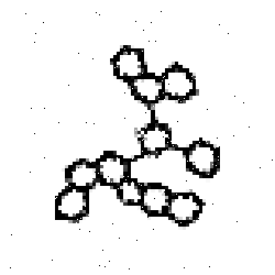 c1ccc(-c2nc(-c3cc4ccccc4c4ccccc34)nc(-c3cc4ccc5ccccc5c4c4sc5cc6ccccc6cc5c34)n2)cc1